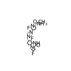 CNC(=O)c1ccc(N2CCN(Cc3ccc4c([nH]c(=O)c5cc(F)cn54)c3F)CC2)c(F)n1